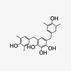 CC1=C(O)C(C)CC(Cc2cc(Cc3cc(C)c(O)c(C)c3)c(O)c(O)c2O)=C1